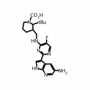 CC(C)(C)C1C(CNc2nc(-c3c[nH]c4ncc(N)cc34)ncc2F)CCCN1C(=O)O